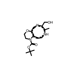 Cc1[nH]ccc2c(cnc1CO)OCCN2C(=O)OC(C)(C)C